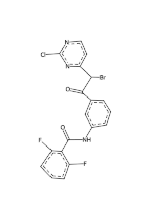 O=C(Nc1cccc(C(=O)C(Br)c2ccnc(Cl)n2)c1)c1c(F)cccc1F